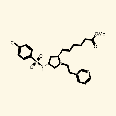 COC(=O)CCCC=C[C@@H]1C[C@@H](NS(=O)(=O)c2ccc(Cl)cc2)CN1CCc1cccnc1